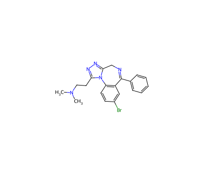 CN(C)CCc1nnc2n1-c1ccc(Br)cc1C(c1ccccc1)=NC2